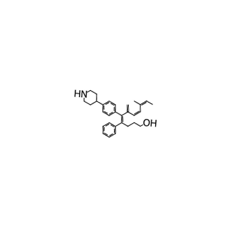 C=C(/C=C\C(C)=C/C)/C(=C(\CCCO)c1ccccc1)c1ccc(C2CCNCC2)cc1